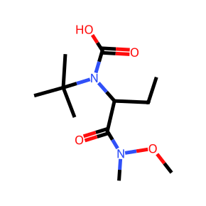 CCC(C(=O)N(C)OC)N(C(=O)O)C(C)(C)C